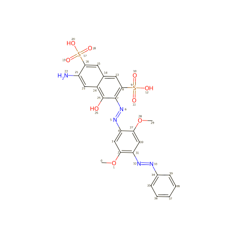 COc1cc(N=Nc2c(S(=O)(=O)O)cc3cc(S(=O)(=O)O)c(N)cc3c2O)c(OC)cc1N=Nc1ccccc1